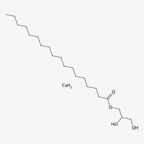 CCCCCCCCCCCCCCCCCC(=O)OCC(O)CO.[CaH2]